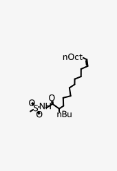 CCCCCCCC/C=C\CCCCCCCCC(CCCC)C(=O)CNS(C)(=O)=O